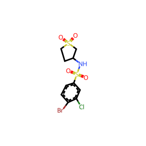 O=S1(=O)CCC(NS(=O)(=O)c2ccc(Br)c(Cl)c2)C1